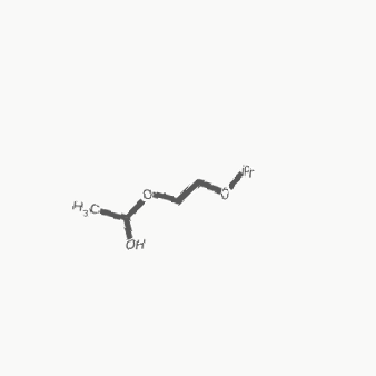 CC(C)OCCOC(C)O